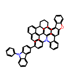 c1ccc(-n2c3ccccc3c3cc(-c4ccc(N(c5ccccc5-c5ccc6c(c5)oc5ccccc56)c5ccccc5-c5cccc6cccc(C7CCCCC7)c56)cc4)ccc32)cc1